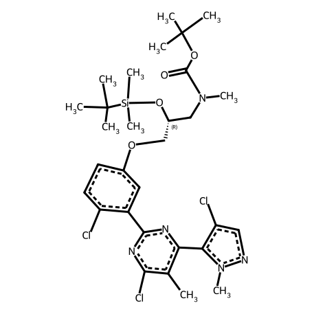 Cc1c(Cl)nc(-c2cc(OC[C@@H](CN(C)C(=O)OC(C)(C)C)O[Si](C)(C)C(C)(C)C)ccc2Cl)nc1-c1c(Cl)cnn1C